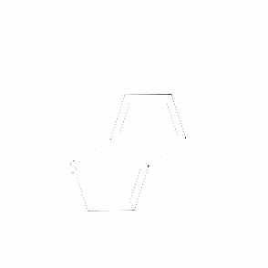 CC1=CC2=CCSC2=C1